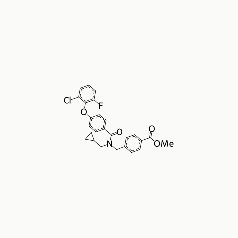 COC(=O)c1ccc(CN(CC2CC2)C(=O)c2ccc(Oc3c(F)cccc3Cl)cc2)cc1